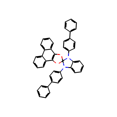 c1ccc(-c2ccc(N3c4ccccc4N(c4ccc(-c5ccccc5)cc4)C34Oc3c(c5ccccc5c5ccccc35)O4)cc2)cc1